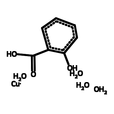 O.O.O.O.O=C(O)c1ccccc1O.[Cu]